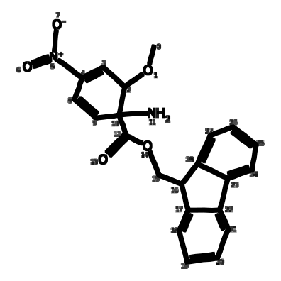 COC1C=C([N+](=O)[O-])C=CC1(N)C(=O)OCC1c2ccccc2-c2ccccc21